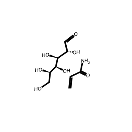 C=CC(N)=O.O=C[C@H](O)[C@H](O)[C@@H](O)[C@H](O)CO